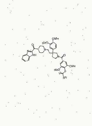 CCCC(=O)Oc1c(OC)cc(C(=O)N2CCC(CCN3CCC(C(=O)c4nc5ccccc5[nH]4)CC3)(c3ccc(OC)c(OC)c3)C2)cc1OC